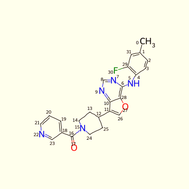 Cc1ccc(Nc2ncnc3c(C4CCN(C(=O)c5cccnc5)CC4)coc23)c(F)c1